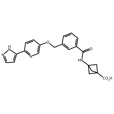 O=C(NC12CC(C(=O)O)(C1)C2)c1cccc(COc2ccc(-c3ccn[nH]3)nc2)c1